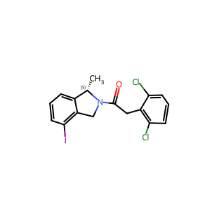 C[C@H]1c2cccc(I)c2CN1C(=O)Cc1c(Cl)cccc1Cl